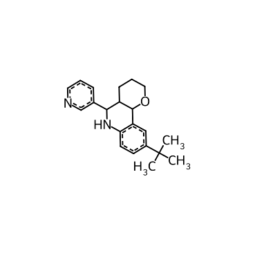 CC(C)(C)c1ccc2c(c1)C1OCCCC1C(c1cccnc1)N2